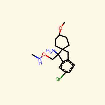 CNOCC1(N)c2cc(Br)ccc2CC12CCC(OC)CC2